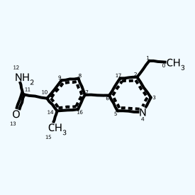 CCc1cncc(-c2ccc(C(N)=O)c(C)c2)c1